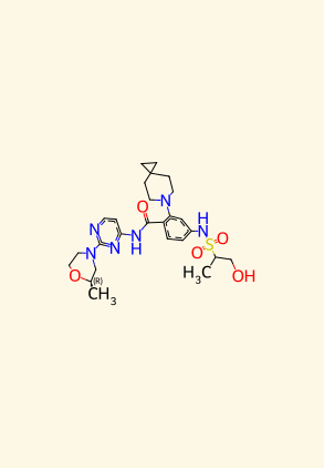 CC(CO)S(=O)(=O)Nc1ccc(C(=O)Nc2ccnc(N3CCO[C@H](C)C3)n2)c(N2CCC3(CC2)CC3)c1